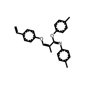 C=Cc1ccc(OC=C(C)C(=Nc2ccc(C)cc2)Oc2ccc(C)cc2)cc1